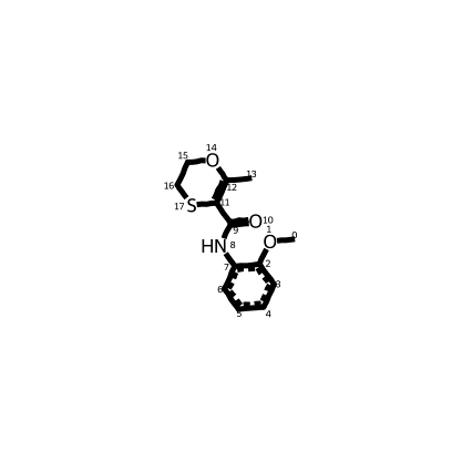 COc1ccccc1NC(=O)C1=C(C)OCCS1